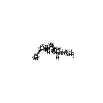 NC(N)NCCC[C@H](NC(=O)c1sccc1NS(=O)(=O)c1cccc(C#Cc2cccnc2)c1)C(=O)O